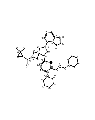 C[C@@H](OCC1CCCCC1)[C@H](NC(=O)[C@@H]1CN(c2cccc3ncsc23)CC12CN(C(=O)[C@H]1CC1(C)C)C2)C(=O)N1CCCCC1